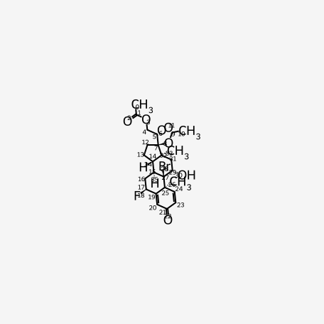 CC(=O)OCC(=O)[C@@]1(OC(C)=O)CC[C@H]2[C@@H]3C[C@H](F)C4=CC(=O)C=C[C@]4(C)[C@@]3(Br)[C@@H](O)C[C@@]21C